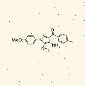 COc1ccc(-n2nc(C(=O)c3ccc(C)cc3)c(N)c2N)cc1